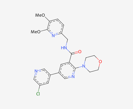 COc1ccc(CNC(=O)c2cc(-c3cncc(Cl)c3)cnc2N2CCOCC2)nc1OC